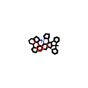 CC1(c2ccccc2)c2ccccc2-c2c(-c3ccccc3N(c3ccccc3-c3cccc4cccc(C5CCCCC5)c34)c3cccc4ccccc34)cccc21